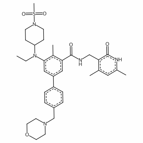 CCN(c1cc(-c2ccc(CN3CCOCC3)cc2)cc(C(=O)NCc2c(C)cc(C)[nH]c2=O)c1C)C1CCN(S(C)(=O)=O)CC1